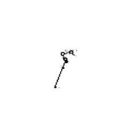 CC(O)CCCCC=CCCCCCCCC(=O)NCCc1c[nH]c2ccc(O[C@H]3O[C@H](CO[C@H]4O[C@H](CO)[C@@H](O)[C@H](O)[C@H]4O)[C@@H](O)[C@H](O)[C@H]3O)cc12